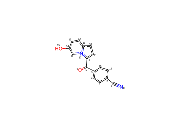 N#Cc1ccc(C(=O)c2ccc3ccc(O)cn23)cc1